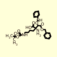 CC(C)(C)OC(=O)NCCCC[C@@](N)(C(=O)O)C(ONc1ccccc1)C(=O)OCc1ccccc1